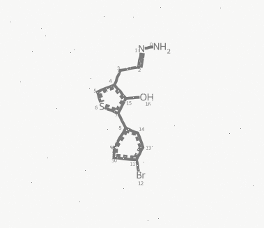 NN=CCc1csc(-c2ccc(Br)cc2)c1O